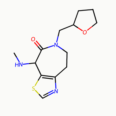 CNC1C(=O)N(CC2CCCO2)CCc2ncsc21